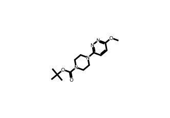 COc1ccc(N2CCN(C(=O)OC(C)(C)C)CC2)nn1